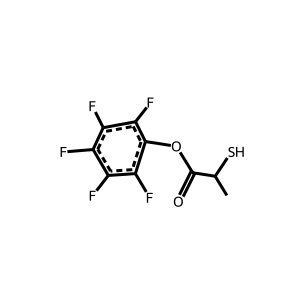 CC(S)C(=O)Oc1c(F)c(F)c(F)c(F)c1F